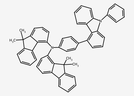 CC1(C)c2ccccc2-c2c(N(c3ccc(-c4cccc5c4c4ccccc4n5-c4ccccc4)cc3)c3cccc4c3C(C)(C)c3ccccc3-4)cccc21